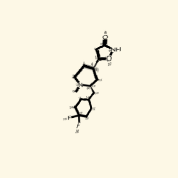 CN1CC[C@@H](c2cc(=O)[nH]o2)C[C@H]1CC1CCC(F)(F)CC1